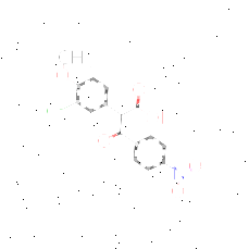 COc1ccc(C(C(=O)O)C(=O)c2ccc([N+](=O)[O-])cc2)cc1Cl